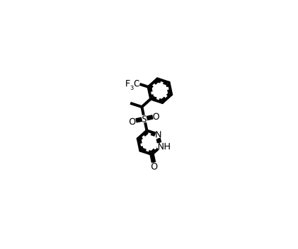 CC(c1ccccc1C(F)(F)F)S(=O)(=O)c1ccc(=O)[nH]n1